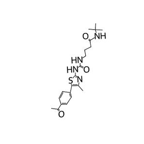 CC(=O)c1ccc(-c2sc(NC(=O)NCCCC(=O)NC(C)(C)C)nc2C)cc1